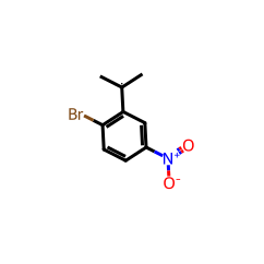 C[C](C)c1cc([N+](=O)[O-])ccc1Br